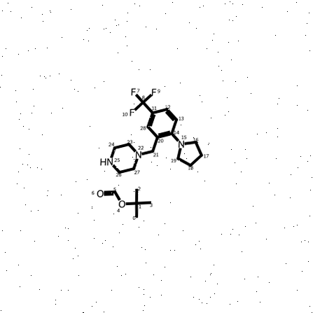 CC(C)(C)OC=O.FC(F)(F)c1ccc(N2CCCC2)c(CN2CCNCC2)c1